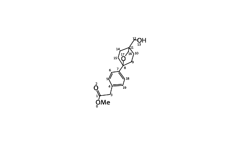 COC(=O)Cc1ccc(C23CCC(CO)(CC2)CO3)cc1